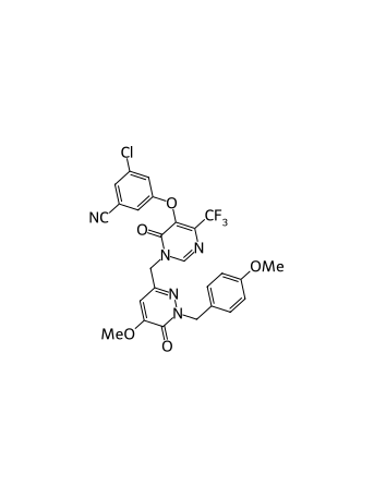 COc1ccc(Cn2nc(Cn3cnc(C(F)(F)F)c(Oc4cc(Cl)cc(C#N)c4)c3=O)cc(OC)c2=O)cc1